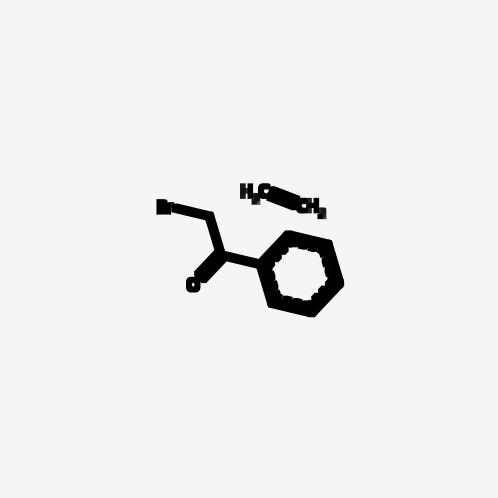 C=C.O=C(CBr)c1ccccc1